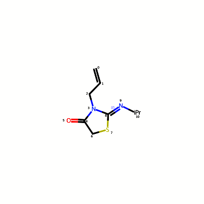 C=CCN1C(=O)CS/C1=N\C(C)C